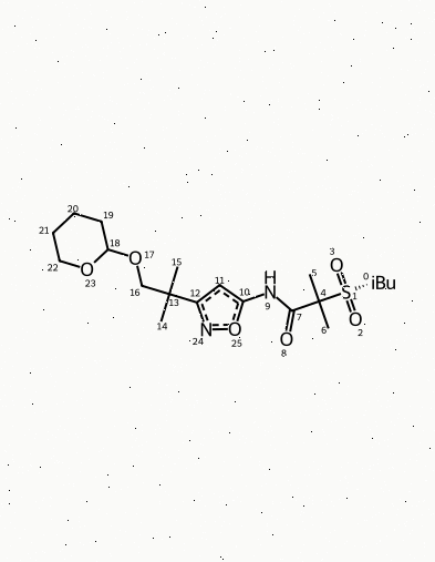 CC[C@@H](C)S(=O)(=O)C(C)(C)C(=O)Nc1cc(C(C)(C)COC2CCCCO2)no1